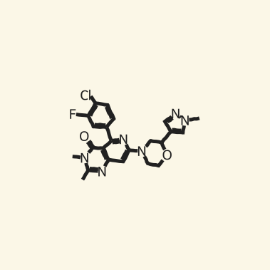 Cc1nc2cc(N3CCOC(c4cnn(C)c4)C3)nc(-c3ccc(Cl)c(F)c3)c2c(=O)n1C